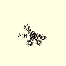 CC(=O)N[C@H]1C(OCc2ccccc2)O[C@H](COCc2ccccc2)[C@@H](OCc2ccccc2)[C@@H]1OCc1ccccc1